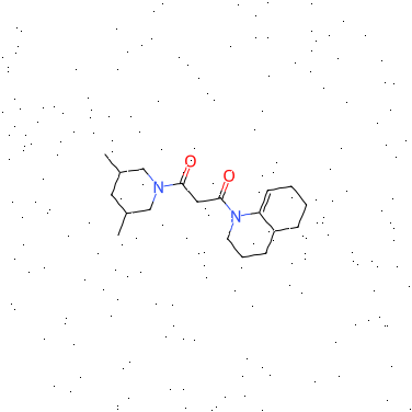 CC1CC(C)CN(C(=O)CC(=O)N2CCCC3CCCC=C32)C1